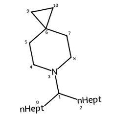 CCCCCCCC(CCCCCCC)N1CCC2(CC1)CC2